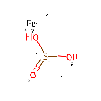 O=S(O)O.[Eu]